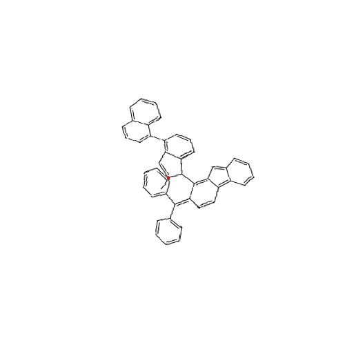 CC1=Cc2c(-c3cccc4ccccc34)cccc2C1c1c2c(ccc1=C(c1ccccc1)c1ccccc1)=c1ccccc1=[C]2